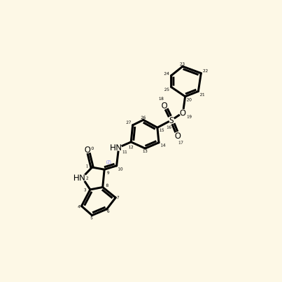 O=C1Nc2ccccc2/C1=C/Nc1ccc(S(=O)(=O)Oc2ccccc2)cc1